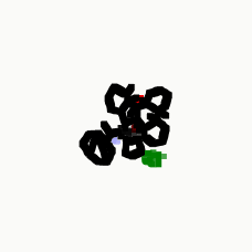 CC1=CC=CC2[CH](/[Zr+2]([C]3=CC=CC3)=[C](\C)C34CC5CC(CC(C5)C3)C4)C3(C)C4(C)C=CC=CC4(C)C4(C)C=CC=CC4(C)C3(C)C12C.[Cl-].[Cl-]